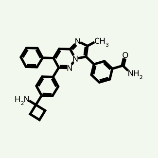 Cc1nc2cc(-c3ccccc3)c(-c3ccc(C4(N)CCC4)cc3)nn2c1-c1cccc(C(N)=O)c1